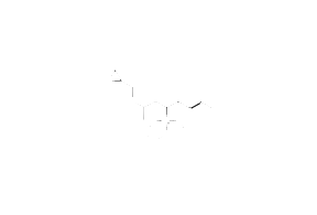 CC=CCC(CC(C)OCC1CO1)[Si](OCC)(OCC)OCC